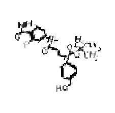 CC(C)(C)OC(=O)N(CCC(=O)Nc1ccc(C(N)=O)c(F)c1)c1ccc(CO)cc1